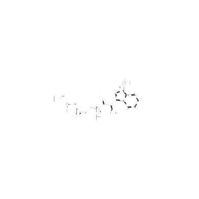 CC(C)n1cc(C(=O)C(=O)NCCN2CCC(O)C2)c2ccccc21